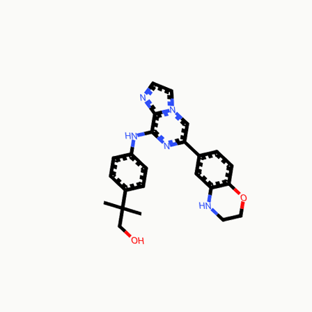 CC(C)(CO)c1ccc(Nc2nc(-c3ccc4c(c3)NCCO4)cn3ccnc23)cc1